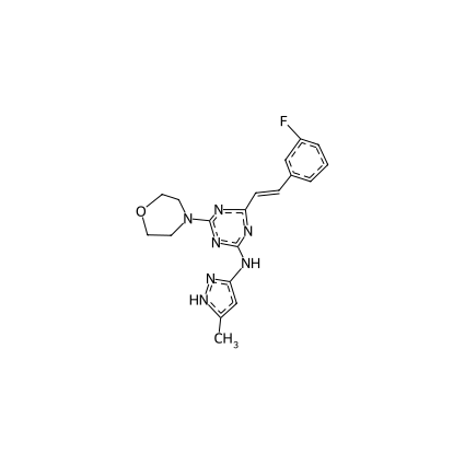 Cc1cc(Nc2nc(/C=C/c3cccc(F)c3)nc(N3CCOCC3)n2)n[nH]1